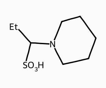 CCC(N1CCCCC1)S(=O)(=O)O